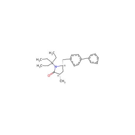 CC[Si](CC)(CC)N1C(=O)[C@@H](C)C[C@H]1Cc1ccc(-c2ccccc2)cc1